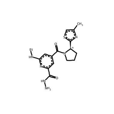 CCNc1cc(C(=O)N2CCC[C@@H]2c2nc(C)cs2)cc(C(=O)NN)n1